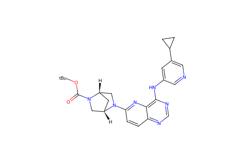 CC(C)(C)OC(=O)N1C[C@@H]2C[C@H]1CN2c1ccc2ncnc(Nc3cncc(C4CC4)c3)c2n1